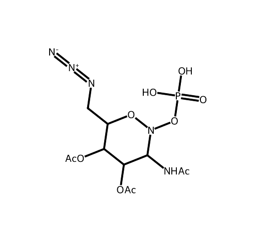 CC(=O)NC1C(OC(C)=O)C(OC(C)=O)C(CN=[N+]=[N-])ON1OP(=O)(O)O